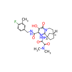 Cc1cc(CNC(=O)c2nc3n(c(=O)c2O)CC[C@@H]2CC[C@@]3(NC(=O)C(=O)N(C)C)C2)ccc1F